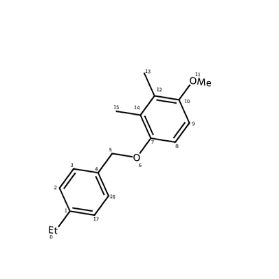 CCc1ccc(COc2ccc(OC)c(C)c2C)cc1